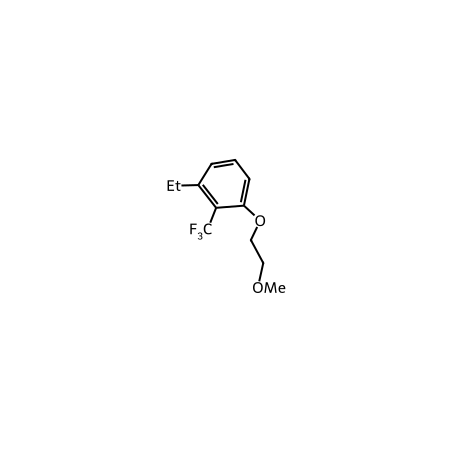 CCc1cccc(OCCOC)c1C(F)(F)F